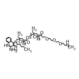 CCCCC1NC2=C(c3ccccc3NC2N)N1CC(C)(C)CNC(=O)OSSC(C)(C)CNC(=O)CCOCCOCCOCCNC